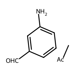 CC(C)=O.Nc1cccc(C=O)c1